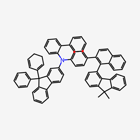 CC1(C)c2ccccc2-c2c(-c3c(-c4ccc(N(c5ccc6c(c5)C(C5=CCCC=C5)(c5ccccc5)c5ccccc5-6)c5ccccc5-c5ccccc5)cc4)ccc4ccccc34)cccc21